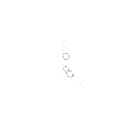 Nc1nc(OCC2CCOC2)nc2c1cnn2Cc1ccc(CN2CCCC2)cc1